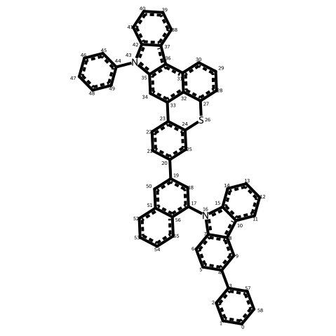 c1ccc(-c2ccc3c(c2)c2ccccc2n3-c2cc(-c3ccc4c(c3)Sc3cccc5c3c-4cc3c5c4ccccc4n3-c3ccccc3)cc3ccccc23)cc1